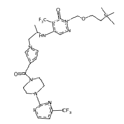 CC(Cn1ccc(C(=O)N2CCN(c3nccc(C(F)(F)F)n3)CC2)c1)Nc1cnn(COCC[Si](C)(C)C)c(=O)c1C(F)(F)F